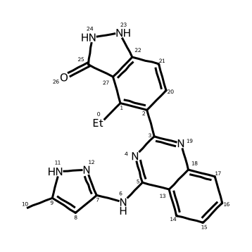 CCc1c(-c2nc(Nc3cc(C)[nH]n3)c3ccccc3n2)ccc2[nH][nH]c(=O)c12